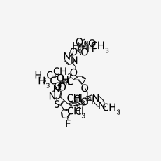 CO[C@@H]1CO[C@H]2[C@@H]1OC[C@H]2Oc1nccc(COc2ccc3cc2C[C@H](C(=O)OC(C)(C)C)Oc2ncnc4sc(-c5ccc(F)cc5)c(c24)-c2c(C)c(Cl)c(c(Cl)c2C)O[C@H](CN2CCN(C)CC2)CO3)n1